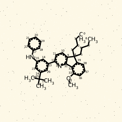 CCCCC1(CCCC)c2ccc(-c3cc(Nc4ccccc4)cc(C(C)(C)C)c3)nc2-c2c(OC)cccc21